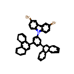 Brc1ccc2c(c1)c1cc(Br)ccc1n2-c1cc(-c2cc3c(c4c2C=CCC4)CCC=C3)cc(-c2cc3ccccc3c3ccccc23)c1